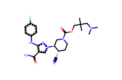 CN(C)CC(C)(C)COC(=O)N1CC[C@H](C#N)[C@@H](n2cc(C(N)=O)c(Nc3ccc(F)cc3)n2)C1